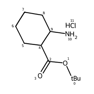 CC(C)(C)OC(=O)C1CCCCC1N.Cl